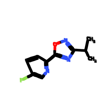 CC(C)c1noc(-c2ccc(F)cn2)n1